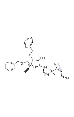 C#C[C@]1(COCc2ccccc2)OC(N/C=N\C(C)(C)/C(N)=N\C=N)C(O)C1OCc1ccccc1